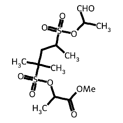 COC(=O)C(C)OS(=O)(=O)C(C)(C)CC(C)S(=O)(=O)OC(C)C=O